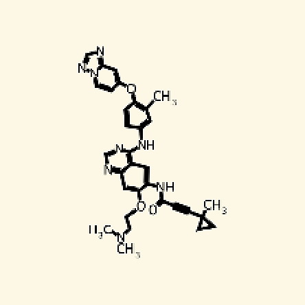 Cc1cc(Nc2ncnc3cc(OCCN(C)C)c(NC(=O)C#CC4(C)CC4)cc23)ccc1Oc1ccn2ncnc2c1